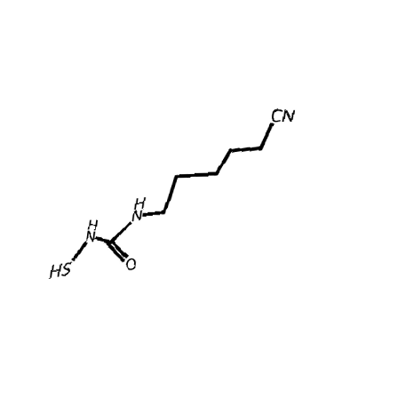 N#CCCCCCNC(=O)NS